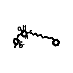 Cc1ccc(Cc2cnc(SCCCCCCCCc3ccccc3)[nH]c2=O)c[n+]1[O-]